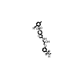 CNS(=O)(=O)c1cccc(OC[C@@H](O)CNC2COC3(CCN(S(=O)(=O)c4cc(C)ccc4C#N)CC3)C2)c1